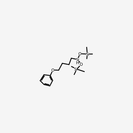 C[Si](C)(C)O[SiH](CCCCOc1ccccc1)O[Si](C)(C)C